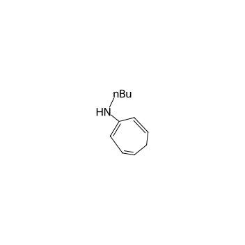 CCCCNC1=CC=CCC=C1